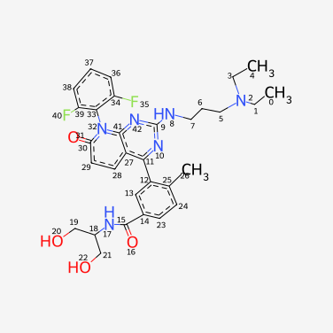 CCN(CC)CCCNc1nc(-c2cc(C(=O)NC(CO)CO)ccc2C)c2ccc(=O)n(-c3c(F)cccc3F)c2n1